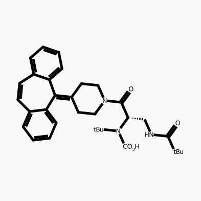 CC(C)(C)C(=O)NC[C@@H](C(=O)N1CCC(=C2c3ccccc3C=Cc3ccccc32)CC1)N(C(=O)O)C(C)(C)C